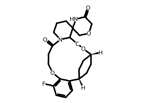 O=C1COCC2(CCCN3C(=O)CCOc4c(F)cccc4[C@H]4CC[C@H](CC4)OCC32)N1